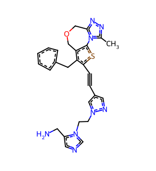 Cc1nnc2n1-c1sc(C#Cc3cnn(CCn4cncc4CN)c3)c(Cc3ccccc3)c1COC2